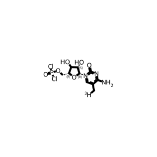 [3H]Cc1cn([C@@H]2O[C@H](COP(=O)(Cl)Cl)C(O)[C@@H]2O)c(=O)nc1N